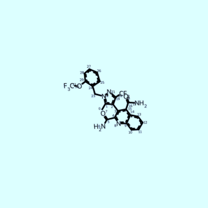 Cc1c(-c2c(C(N)=O)nc3ccccc3c2C(N)=O)c(C(F)(F)F)nn1Cc1ccccc1OC(F)(F)F